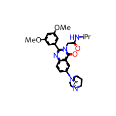 COc1cc(OC)cc(-c2nc3ccc(N4CCN5CCC4CC5)cc3c(=O)n2CC(=O)NC(C)C)c1